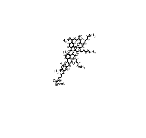 CCCCCC(=O)NCCCCC(NC(=O)CN(C(=O)CN(CCCCN)C(=O)CN(C(=O)CN(CCCCN)C(=O)CN(CCCCN)C(=O)CN(CCCCN)C(C)=O)[C@@H](C)c1ccccc1)[C@@H](C)c1ccccc1)C(N)=O